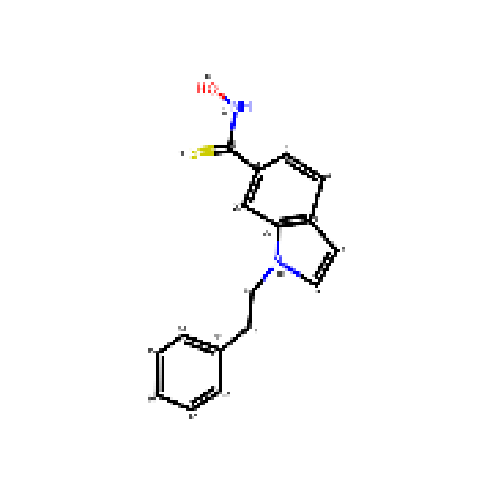 ONC(=S)c1ccc2ccn(CCc3ccccc3)c2c1